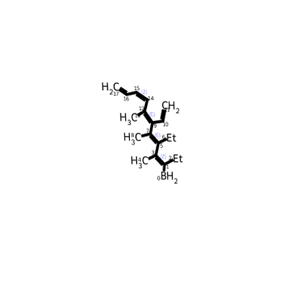 B/C(CC)=C(C)/C(CC)=C(C)/C(C=C)=C(C)/C=C\C=C